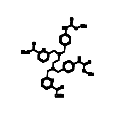 COC(=O)c1cccc(CN(CCN(Cc2ccc(NC(=O)OC(C)(C)C)cc2)Cc2cccc(C(=O)OC)n2)Cc2ccc(NC(=O)OC(C)(C)C)cc2)n1